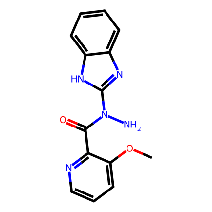 COc1cccnc1C(=O)N(N)c1nc2ccccc2[nH]1